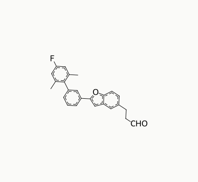 Cc1cc(F)cc(C)c1-c1cccc(-c2cc3cc(CCC=O)ccc3o2)c1